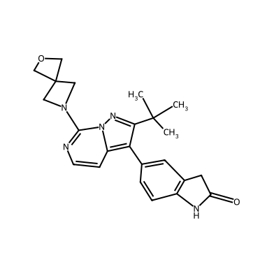 CC(C)(C)c1nn2c(N3CC4(COC4)C3)nccc2c1-c1ccc2c(c1)CC(=O)N2